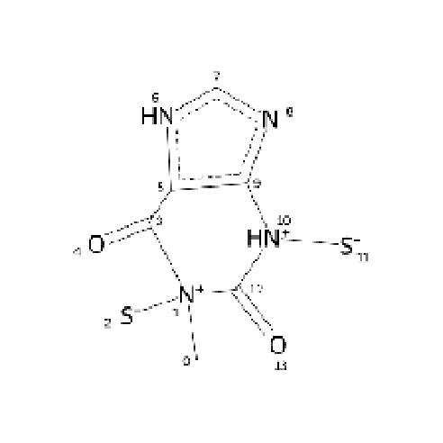 C[N+]1([S-])C(=O)c2[nH]cnc2[NH+]([S-])C1=O